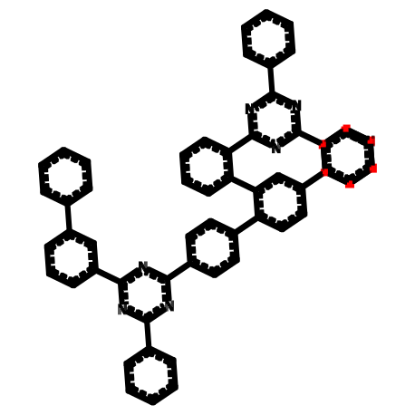 c1ccc(-c2cccc(-c3nc(-c4ccccc4)nc(-c4ccc(-c5ccc(-c6ccncc6)cc5-c5ccccc5-c5nc(-c6ccccc6)nc(-c6ccccc6)n5)cc4)n3)c2)cc1